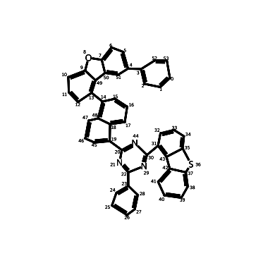 c1ccc(-c2ccc3oc4cccc(-c5cccc6c(-c7nc(-c8ccccc8)nc(-c8cccc9sc%10ccccc%10c89)n7)cccc56)c4c3c2)cc1